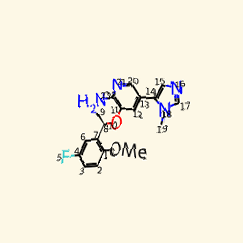 COc1ccc(F)cc1[C@@H](C)Oc1cc(-c2cncn2C)cnc1N